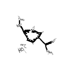 Cl.Cl.NC(=O)c1ccc(NC=O)nc1